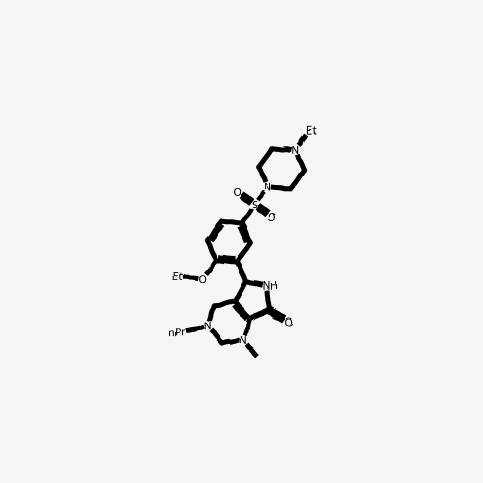 CCCN1CC2=C(C(=O)NC2c2cc(S(=O)(=O)N3CCN(CC)CC3)ccc2OCC)N(C)C1